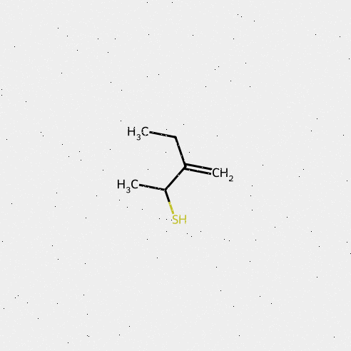 C=C(CC)C(C)S